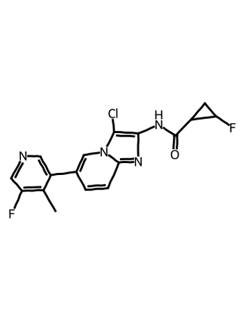 Cc1c(F)cncc1-c1ccc2nc(NC(=O)C3CC3F)c(Cl)n2c1